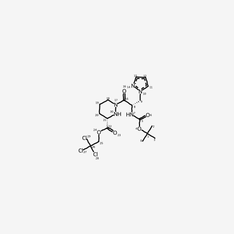 CC(C)(C)OC(=O)N[C@@H](Cn1cccn1)C(=O)N1CCC[C@@H](C(=O)OCC(Cl)(Cl)Cl)N1